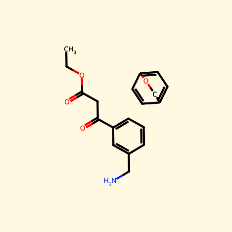 CCOC(=O)CC(=O)c1cccc(CN)c1.c1cc2ccc1CO2